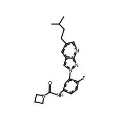 CC(C)CCc1cnc2nn(-c3cc(NC(=O)N4CCC4)ccc3F)cc2c1